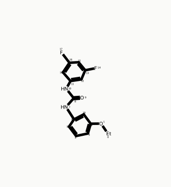 CCOc1cccc(NC(=O)Nc2cc(F)cc(F)c2)c1